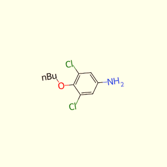 CCCCOc1c(Cl)cc(N)cc1Cl